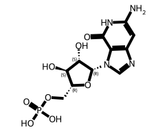 Nc1cc2ncn([C@@H]3O[C@H](COP(=O)(O)O)[C@@H](O)[C@@H]3O)c2c(=O)[nH]1